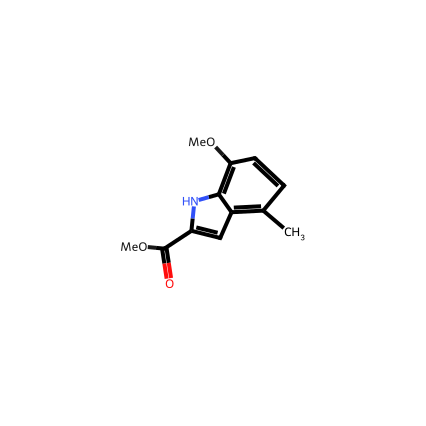 COC(=O)c1cc2c(C)ccc(OC)c2[nH]1